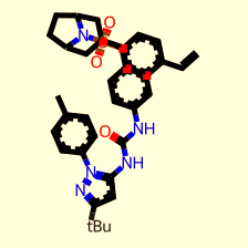 C=Cc1ccc(S(=O)(=O)N2C3CCC2CC(Cc2ccc(NC(=O)Nc4cc(C(C)(C)C)nn4-c4ccc(C)cc4)cc2)C3)cc1